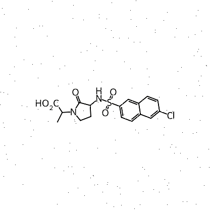 CC(C(=O)O)N1CCC(NS(=O)(=O)c2ccc3cc(Cl)ccc3c2)C1=O